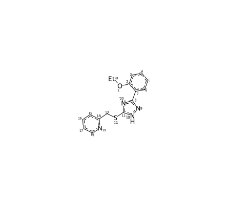 CCOc1ccccc1-c1n[nH]c(SCc2ccccn2)n1